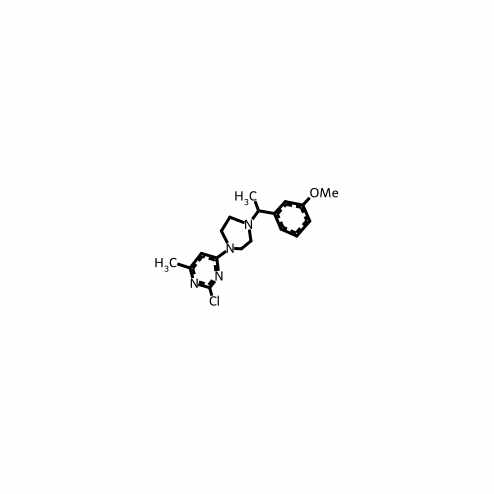 COc1cccc(C(C)N2CCN(c3cc(C)nc(Cl)n3)CC2)c1